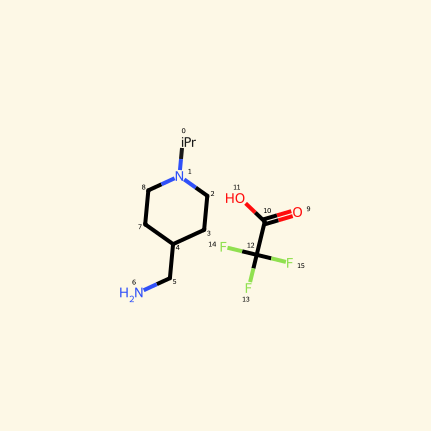 CC(C)N1CCC(CN)CC1.O=C(O)C(F)(F)F